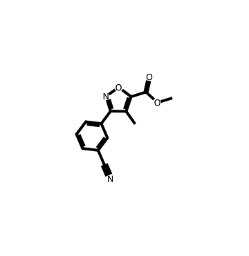 COC(=O)c1onc(-c2cccc(C#N)c2)c1C